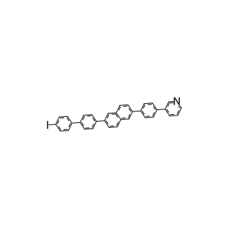 Ic1ccc(-c2ccc(-c3ccc4cc(-c5ccc(-c6cccnc6)cc5)ccc4c3)cc2)cc1